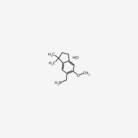 COc1cc2c(cc1CN)C(C)(C)CC2.Cl